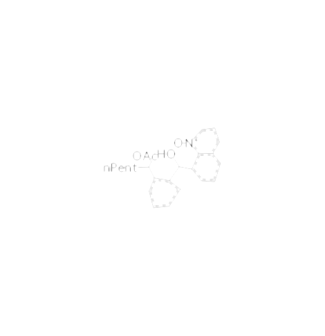 CCCCCC(OC(C)=O)c1ccccc1C(O)c1cccc2ccc[n+]([O-])c12